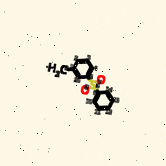 [CH2]c1cccc(S(=O)(=O)c2ccccc2)c1